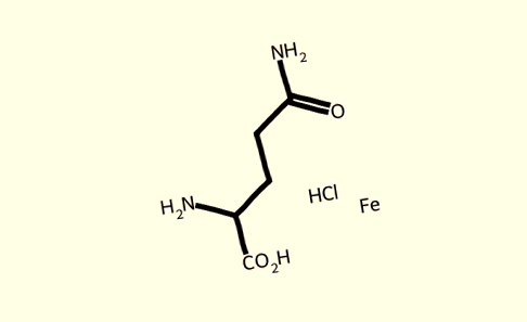 Cl.NC(=O)CCC(N)C(=O)O.[Fe]